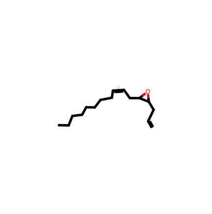 C=CCC1OC1C/C=C\CCCCCCCC